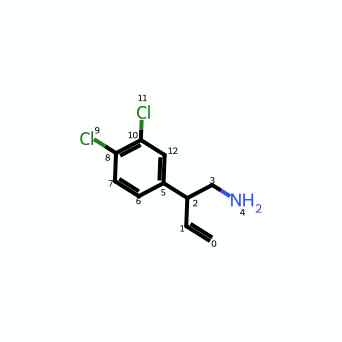 C=CC(CN)c1ccc(Cl)c(Cl)c1